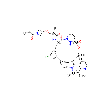 C=CC(=O)N1CC(OC[C@H](C(=O)N[C@H]2Cc3cc(F)cc(c3)-c3ccc4c(c3)c(c(-c3cccnc3[C@H](C)OC)n4CC(F)(F)F)CC(C)(C)COC(=O)[C@@]3([SiH3])CCCN(N3)C2=O)C(C)C)C1